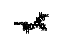 CCNC(=O)Nc1nc2cc(-c3cnc(NS(=O)(=O)CC(=O)OC)nc3)cc(-c3ccc(C)cn3)c2s1